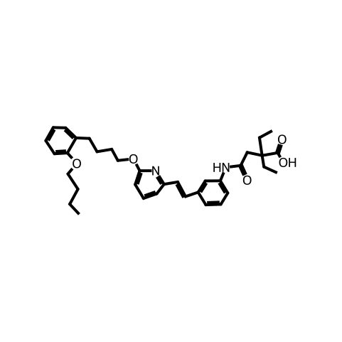 CCCCOc1ccccc1CCCCOc1cccc(/C=C/c2cccc(NC(=O)CC(CC)(CC)C(=O)O)c2)n1